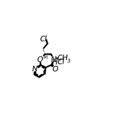 CN1C[C@@H](CCCl)Oc2ncccc2C1=O.Cl